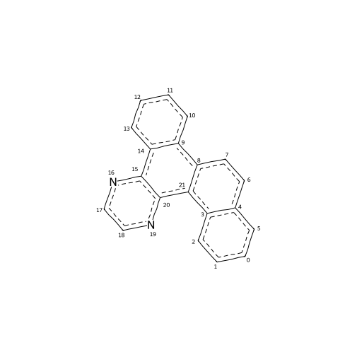 c1ccc2c(c1)ccc1c3ccccc3c3nccnc3c21